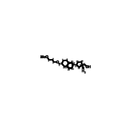 COCCCOC[C@@H]1CCc2cc([C@H]3CC[C@](N)(CO)C3)ccc2C1